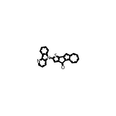 O=C1c2cc(-n3c4ccccc4c4ncccc43)sc2-c2cc3cccccc-3c21